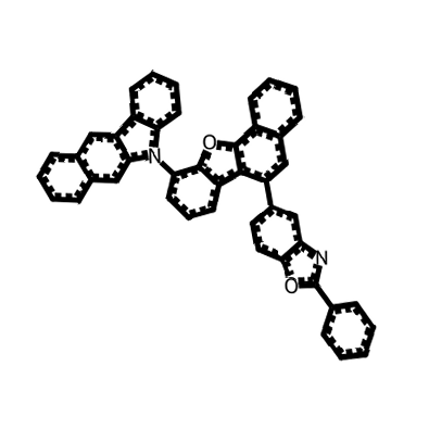 c1ccc(-c2nc3cc(-c4cc5ccccc5c5oc6c(-n7c8ccccc8c8cc9ccccc9cc87)cccc6c45)ccc3o2)cc1